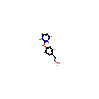 OCCc1ccc(Oc2ncccn2)cc1